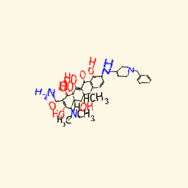 C[C@H]1c2ccc(NC3CCN(Cc4ccccc4)CC3)c(O)c2C(=O)C2=C(O)[C@@]3(O)C(=O)C(C(N)=O)=C(O)[C@H](N(C)C)[C@H]3[C@@H](O)[C@@H]21